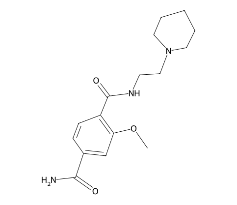 COc1cc(C(N)=O)ccc1C(=O)NCCN1CCCCC1